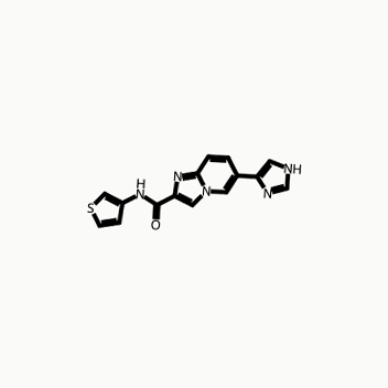 O=C(Nc1ccsc1)c1cn2cc(-c3c[nH]cn3)ccc2n1